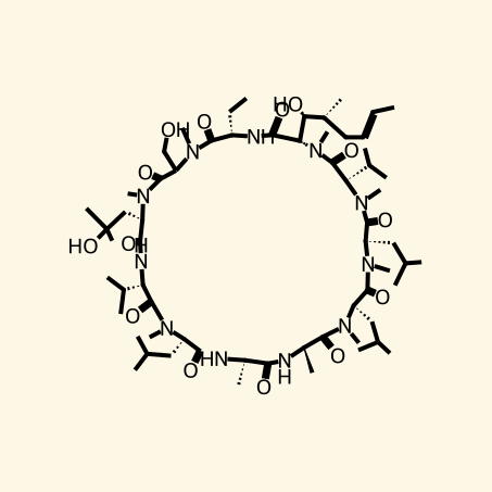 C/C=C/C[C@@H](C)[C@@H](O)[C@H]1C(=O)N[C@@H](CC)C(=O)N(C)C(CO)C(=O)N(C)[C@@H](CC(C)(C)O)C(=O)N[C@@H](C(C)C)C(=O)N(C)[C@@H](CC(C)C)C(=O)N[C@@H](C)C(=O)N[C@H](C)C(=O)N(C)[C@@H](CC(C)C)C(=O)N(C)[C@@H](CC(C)C)C(=O)N(C)[C@@H](C(C)C)C(=O)N1C